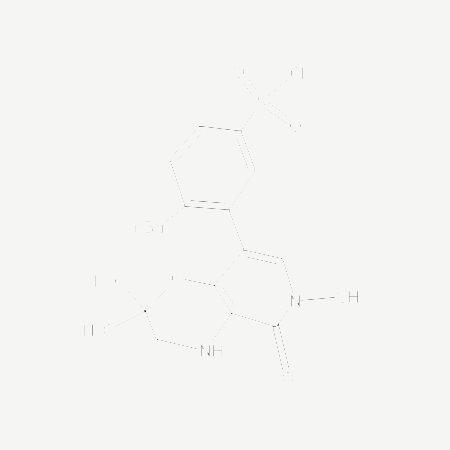 CCCCc1ccc(S(C)(=O)=O)cc1-c1cn(C)c(=O)c2c1OC(C)(C)CN2